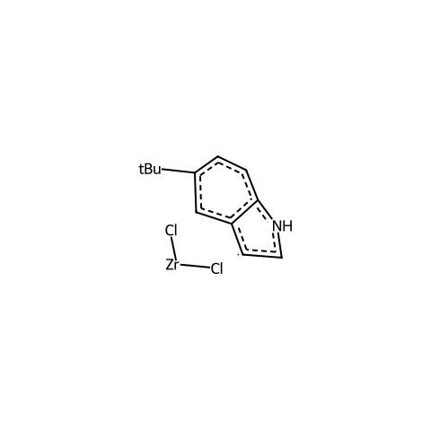 CC(C)(C)c1ccc2[nH]c[c]c2c1.[Cl][Zr][Cl]